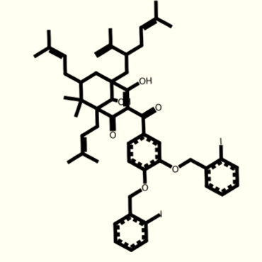 C=C(C)C(CC=C(C)C)CC12CC(CC=C(C)C)C(C)(C)C(CC=C(C)C)(C(=O)C(C(=O)c3ccc(OCc4ccccc4I)c(OCc4ccccc4I)c3)=C1O)C2O